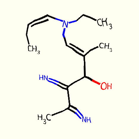 C/C=C\N(/C=C(\C)C(O)C(=N)C(C)=N)CC